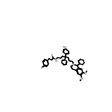 COc1cc2c(cc1OC)C(C1CCCCC1)N(CCCC(CCCNC(=O)CCc1ccc(F)cc1)(c1ccccc1)c1ccccc1)CC2.Cl